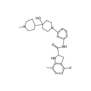 Cc1ccc(F)c2c1NC(C(=O)Nc1cccc(N3CCC(O)(C4CCN(C)CC4)CC3)c1)C2